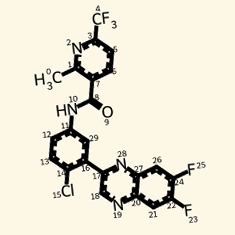 Cc1nc(C(F)(F)F)ccc1C(=O)Nc1ccc(Cl)c(-c2cnc3cc(F)c(F)cc3n2)c1